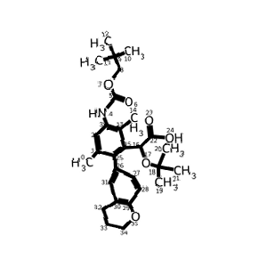 Cc1cc(NC(=O)OCC(C)(C)C)c(C)c(C(OC(C)(C)C)C(=O)O)c1-c1ccc2c(c1)CCCO2